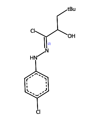 CC(C)(C)CC(O)/C(Cl)=N/Nc1ccc(Cl)cc1